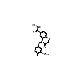 COc1cc(CN2C(=O)COc3ccc(C(=O)NO)cc32)ccc1F